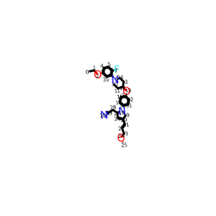 CCOc1ccc(F)c(N2CCC(Oc3ccc(N4CC(/C=C/COC)=CC4CC#N)cc3)CC2)c1